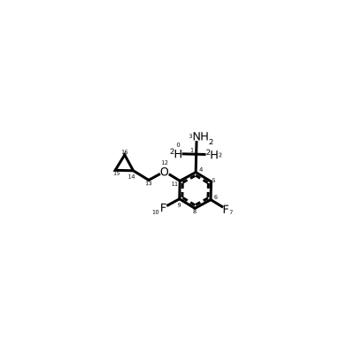 [2H]C([2H])(N)c1cc(F)cc(F)c1OCC1CC1